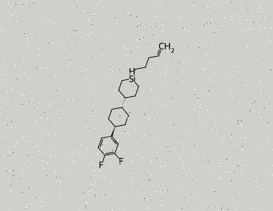 C=CCCC[SiH]1CCC([C@H]2CC[C@H](c3ccc(F)c(F)c3)CC2)CC1